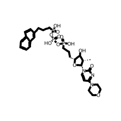 C[C@H]1C(O)[C@@H](CCCP(=O)(O)OP(=O)(O)OP(=O)(O)CCCc2ccc3ccccc3c2)O[C@H]1n1ccc(N2CCOCC2)nc1=O